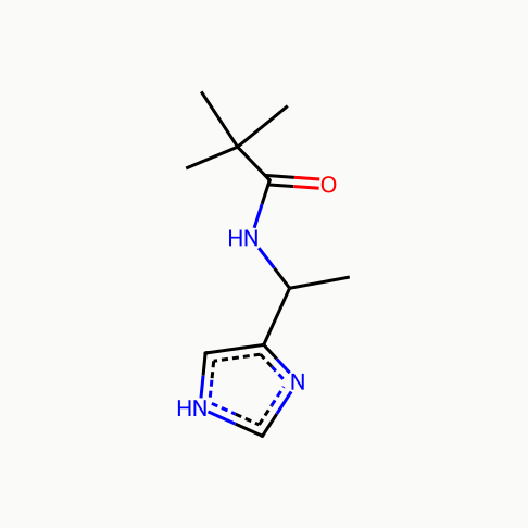 CC(NC(=O)C(C)(C)C)c1c[nH]cn1